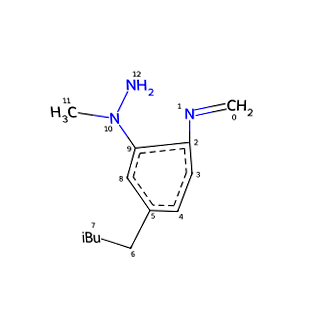 C=Nc1ccc(CC(C)CC)cc1N(C)N